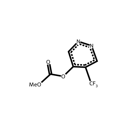 COC(=O)Oc1cnncc1C(F)(F)F